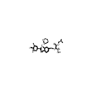 Cc1cc(-c2nc3ccc(CN[C@H](C(=O)OCC(C)C)[C@@H](C)O)cc3n2C[C@H]2CCCCO2)cn(C)c1=O